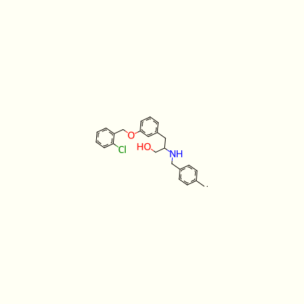 [CH2]c1ccc(CNC(CO)Cc2cccc(OCc3ccccc3Cl)c2)cc1